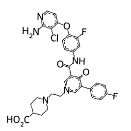 Nc1nccc(Oc2ccc(NC(=O)c3cn(CCN4CCC(C(=O)O)CC4)cc(-c4ccc(F)cc4)c3=O)cc2F)c1Cl